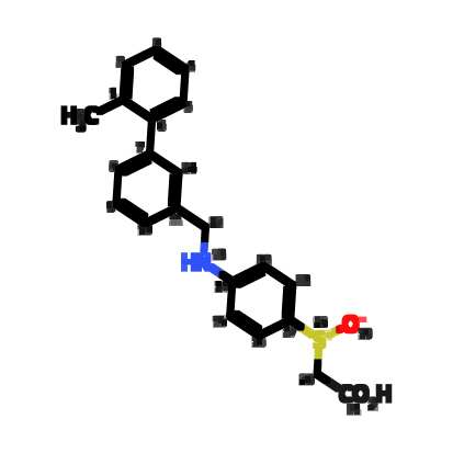 Cc1ccccc1-c1cccc(CNc2ccc([S+]([O-])CC(=O)O)cc2)c1